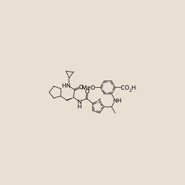 COc1ccc(C(=O)O)c(NC(C)c2ccc(C(=O)N[C@@H](CC3CCCC3)C(=O)NC3CC3)s2)c1